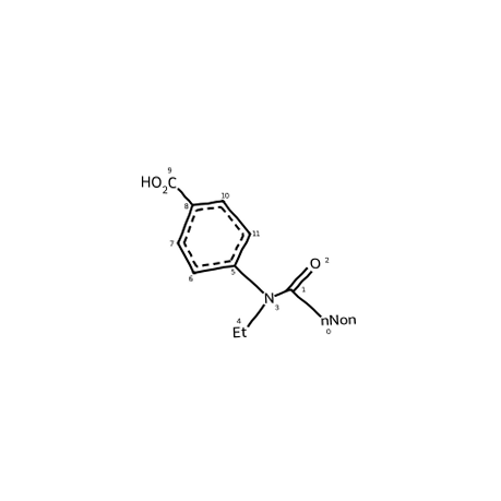 CCCCCCCCCC(=O)N(CC)c1ccc(C(=O)O)cc1